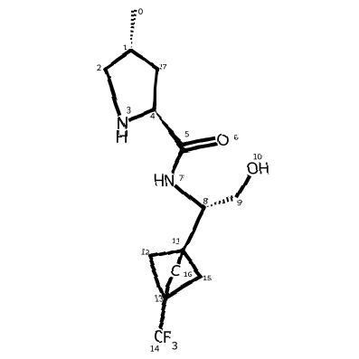 C[C@H]1CN[C@H](C(=O)N[C@H](CO)C23CC(C(F)(F)F)(C2)C3)C1